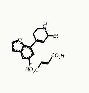 CCC1C=C(c2cc(F)cc3ccoc23)CCN1.O=C(O)C=CC(=O)O